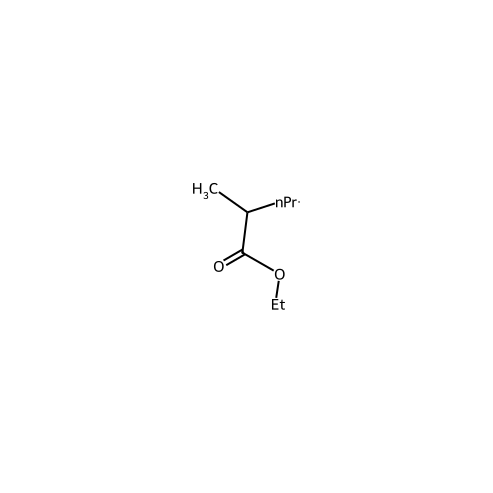 CC[CH]C(C)C(=O)OCC